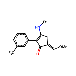 CCNC1=C(c2cccc(C(F)(F)F)c2)C(=O)C(=COC)C1